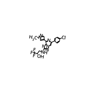 Cn1cc(-c2nc(-c3ccc(Cl)cc3)cn3nc(NCC(O)C(F)(F)F)nc23)cn1